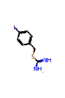 N=C(N)SCc1ccc(I)cc1